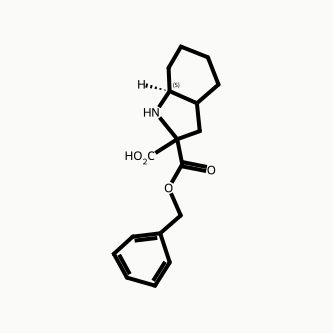 O=C(O)C1(C(=O)OCc2ccccc2)CC2CCCC[C@@H]2N1